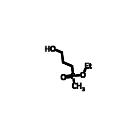 CCOP(C)(=O)CCCO